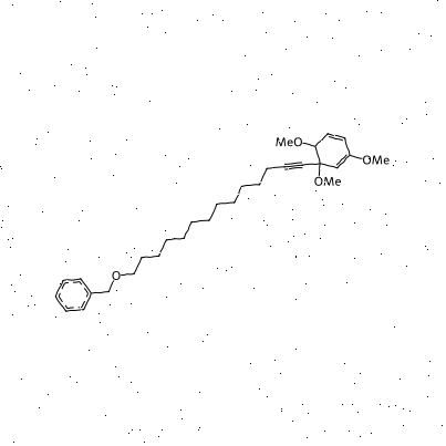 COC1=CC(C#CCCCCCCCCCCCCOCc2ccccc2)(OC)C(OC)C=C1